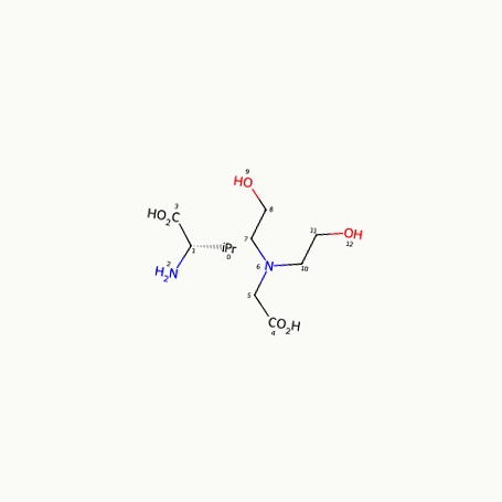 CC(C)[C@H](N)C(=O)O.O=C(O)CN(CCO)CCO